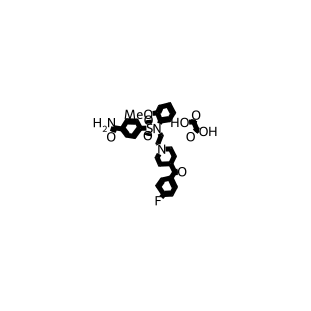 COc1ccccc1N(CCN1CCC(C(=O)c2ccc(F)cc2)CC1)S(=O)(=O)c1ccc(C(N)=O)cc1.O=C(O)C(=O)O